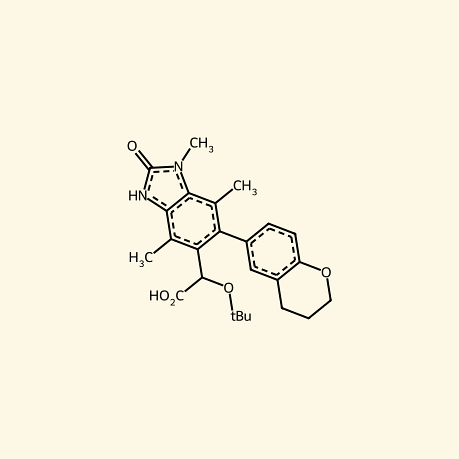 Cc1c(C(OC(C)(C)C)C(=O)O)c(-c2ccc3c(c2)CCCO3)c(C)c2c1[nH]c(=O)n2C